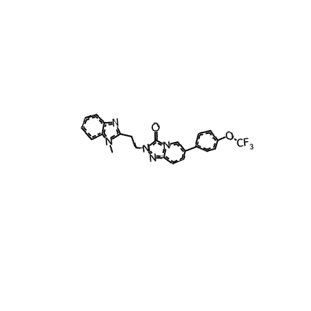 Cn1c(CCn2nc3ccc(-c4ccc(OC(F)(F)F)cc4)cn3c2=O)nc2ccccc21